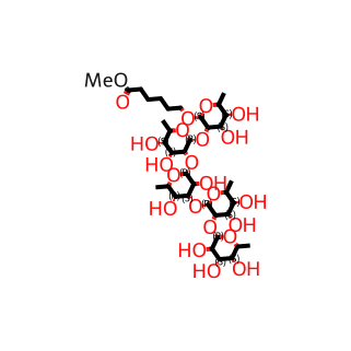 COC(=O)CCCCCO[C@H]1OC(C)[C@@H](O)[C@H](O)C1O[C@H]1OC(C)[C@@H](O)[C@H](O)C1O[C@H]1OC(C)[C@@H](O)[C@H](O[C@H]2OC(C)[C@@H](O)[C@H](O)C2O[C@H]2OC(C)[C@@H](O)[C@H](O)C2O)C1O